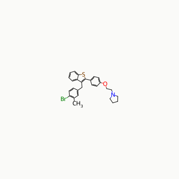 Cc1cc(Cc2c(-c3ccc(OCCN4CCCC4)cc3)sc3ccccc23)ccc1Br